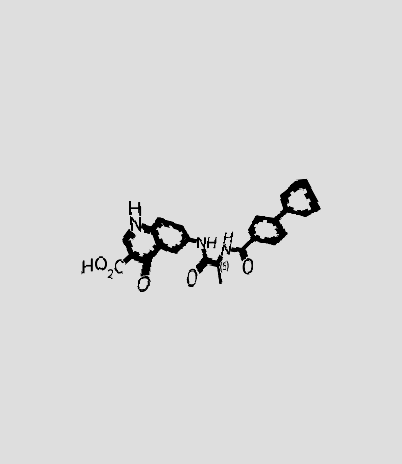 C[C@H](NC(=O)c1ccc(-c2ccccc2)cc1)C(=O)Nc1ccc2[nH]cc(C(=O)O)c(=O)c2c1